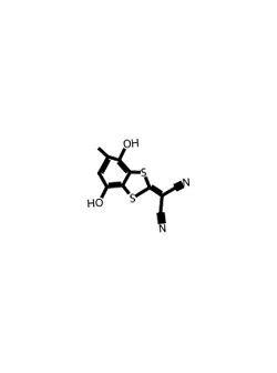 Cc1cc(O)c2c(c1O)SC(=C(C#N)C#N)S2